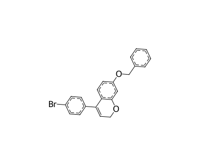 Brc1ccc(C2=CCOc3cc(OCc4ccccc4)ccc32)cc1